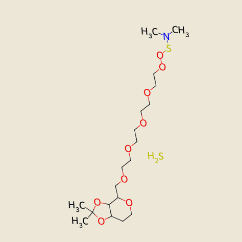 CN(C)SOOCCOCCOCCOCCOCC1OCCC2OC(C)(C)OC12.S